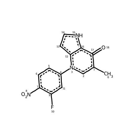 Cc1cn(-c2ccc([N+](=O)[O-])c(F)c2)c2cc[nH]c2c1=O